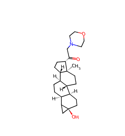 C[C@]12CC[C@@H]3[C@H]4CC[C@]5(O)CC5[C@H]4CC[C@H]3[C@@H]1CC[C@@H]2C(=O)CN1CCOCC1